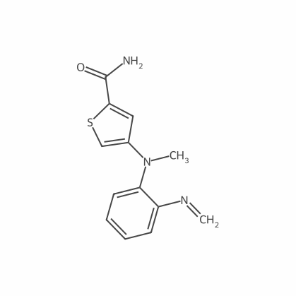 C=Nc1ccccc1N(C)c1csc(C(N)=O)c1